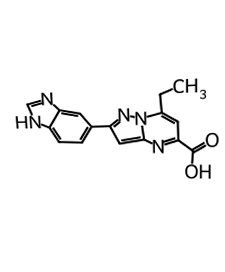 CCc1cc(C(=O)O)nc2cc(-c3ccc4[nH]cnc4c3)nn12